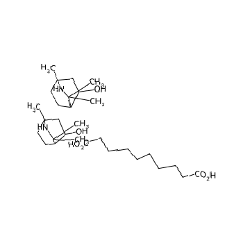 CC12CCC(C(O)C1)C(C)(C)N2.CC12CCC(C(O)C1)C(C)(C)N2.O=C(O)CCCCCCCCC(=O)O